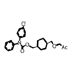 CC(=O)COC[C@H]1CC[C@@H](COC(=O)N(c2ccccc2)c2ccc(Cl)cc2)CC1